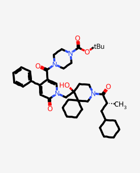 C[C@H](CC1CCCCC1)C(=O)N1CCC(O)(Cn2cc(C(=O)N3CCN(C(=O)OC(C)(C)C)CC3)c(-c3ccccc3)cc2=O)C2(CCCCC2)C1